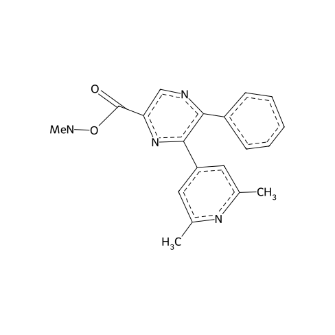 CNOC(=O)c1cnc(-c2ccccc2)c(-c2cc(C)nc(C)c2)n1